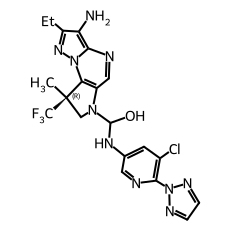 CCc1nn2c3c(cnc2c1N)N(C(O)Nc1cnc(-n2nccn2)c(Cl)c1)C[C@@]3(C)C(F)(F)F